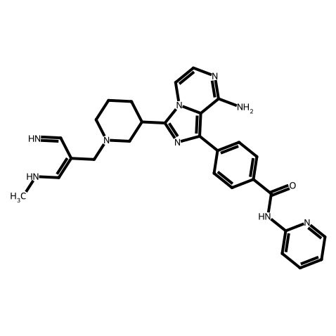 CN/C=C(\C=N)CN1CCCC(c2nc(-c3ccc(C(=O)Nc4ccccn4)cc3)c3c(N)nccn23)C1